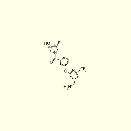 NCc1cc(Oc2cccc(C(=O)N3C[C@H](O)[C@@H](F)C3)c2)nc(C(F)(F)F)c1